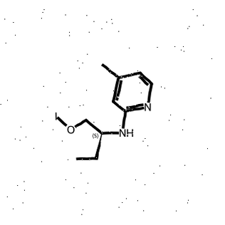 CC[C@@H](COI)Nc1cc(C)ccn1